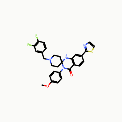 COc1ccc(N2C(=O)c3ccc(-c4nccs4)cc3NC23CCN(Cc2ccc(F)c(F)c2)CC3)cc1